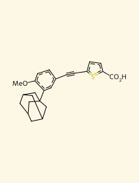 COc1ccc(C#Cc2ccc(C(=O)O)s2)cc1C12CC3CC(CC(C3)C1)C2